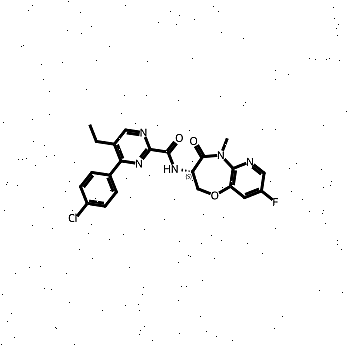 CCc1cnc(C(=O)N[C@H]2COc3cc(F)cnc3N(C)C2=O)nc1-c1ccc(Cl)cc1